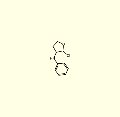 Cl[C]1OCCC1Nc1ccccc1